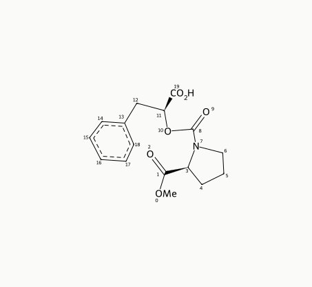 COC(=O)[C@@H]1CCCN1C(=O)O[C@@H](Cc1ccccc1)C(=O)O